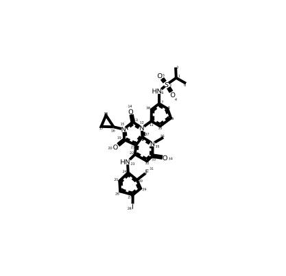 CC(C)S(=O)(=O)Nc1cccc(-n2c(=O)n(C3CC3)c(=O)c3c(Nc4ccc(I)cc4F)cc(=O)n(C)c32)c1